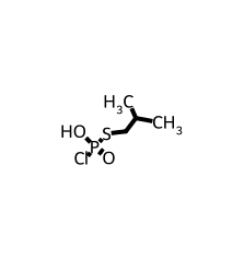 CC(C)CSP(=O)(O)Cl